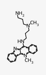 CN(CCCN)CCCNc1c2nc3ccccc3c-2n(C)c2ccccc12